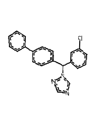 Clc1cccc(C(c2ccc(-c3ccccc3)cc2)n2cncn2)c1